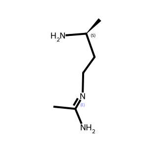 C/C(N)=N\CC[C@H](C)N